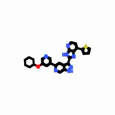 c1csc(-c2ccnc3[nH]c(-c4n[nH]c5cnc(-c6cncc(OC7CCCCC7)c6)cc45)nc23)c1